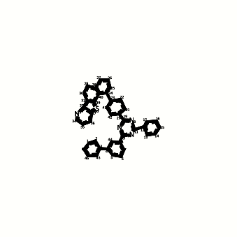 c1ccc(-c2cccc(-c3nc(-c4ccccc4)nc(-c4ccc(-c5cccc6ccc7c8ncccc8sc7c56)cc4)n3)c2)cc1